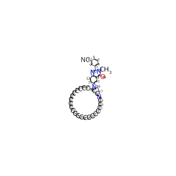 Cn1c(-c2cccc(C#N)c2)nc2ccc(N3CCN4CCCCCCCCCCCCCCCCCCCCCC3CC4)cc2c1=O